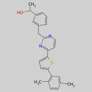 Cc1ccc(C)c(-c2ccc(-c3ccnc(Cc4cccc(C(C)O)c4)n3)s2)c1